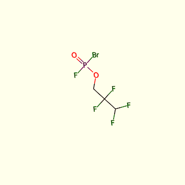 O=P(F)(Br)OCC(F)(F)C(F)F